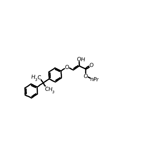 CCCOC(=O)C(O)=COc1ccc(C(C)(C)c2ccccc2)cc1